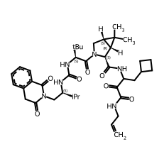 C=CCNC(=O)C(=O)C(CC1CCC1)NC(=O)[C@@H]1[C@@H]2[C@H](CN1C(=O)[C@@H](NC(=O)N[C@H](CN1C(=O)Cc3ccccc3C1=O)C(C)C)C(C)(C)C)C2(C)C